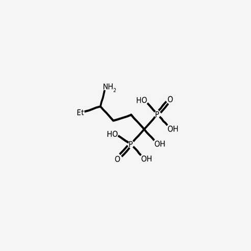 CCC(N)CCC(O)(P(=O)(O)O)P(=O)(O)O